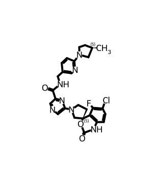 C[C@H]1CCN(c2ccc(CNC(=O)c3cncc(N4CC[C@]5(C4)OC(=O)Nc4ccc(Cl)c(F)c45)n3)cn2)C1